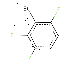 CCc1c(F)ccc(F)c1F